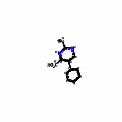 CC(C)(C)c1ncc(-c2ccccc2)c(C(=O)O)n1